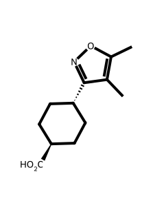 Cc1onc([C@H]2CC[C@H](C(=O)O)CC2)c1C